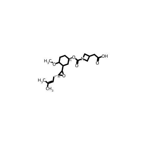 COC1CC[C@@H](OC(=O)N2CC(CC(=O)O)C2)CC1C1O[C@@H]1CC=C(C)C